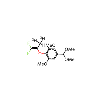 [2H]C([2H])([2H])C(Oc1c(OC)cc(C(OC)OC)cc1OC)=C(F)F